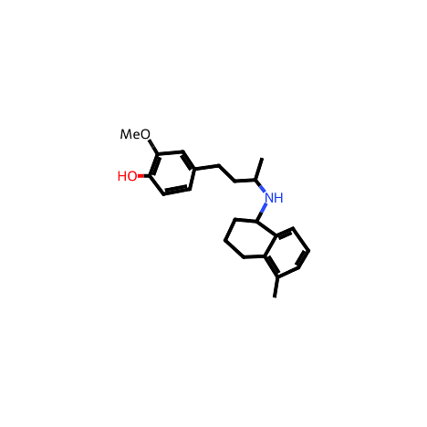 COc1cc(CCC(C)NC2CCCc3c(C)cccc32)ccc1O